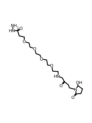 NNC(=O)CCOCCOCCOCCOCCNCC(=O)CCN1C(=O)CCC1O